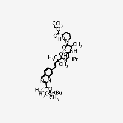 CC(NC(=O)[C@@H](NC(=O)C(C)(C)/C=C/c1ccc2cnc([C@H](C)O[Si](C)(C)C(C)(C)C)nc2c1)C(C)C)C(=O)N1CCC[C@@H](C(=O)OCC(Cl)(Cl)Cl)N1